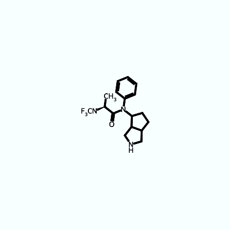 C[C@H](NC(F)(F)F)C(=O)N(c1ccccc1)C1CCC2CNCC21